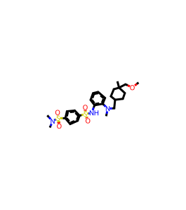 COCC1(C)CCC(CN(C)c2ccccc2NS(=O)(=O)c2ccc(S(=O)(=O)N(C)C)cc2)CC1